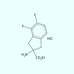 CCOC(=O)C1(N)Cc2ccc(F)c(F)c2C1.Cl